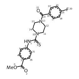 COC(=O)c1ccc(NC(=S)N2CCN(C(=O)c3ccc(F)cc3)CC2)cc1